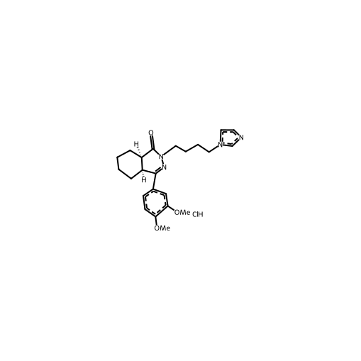 COc1ccc(C2=NN(CCCCn3ccnc3)C(=O)[C@@H]3CCCC[C@H]23)cc1OC.Cl